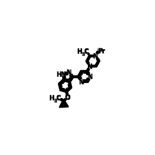 CC(C)N1CCN(c2cc(-c3n[nH]c4ccc(OC5(C)CC5)cc34)ncn2)C[C@H]1C